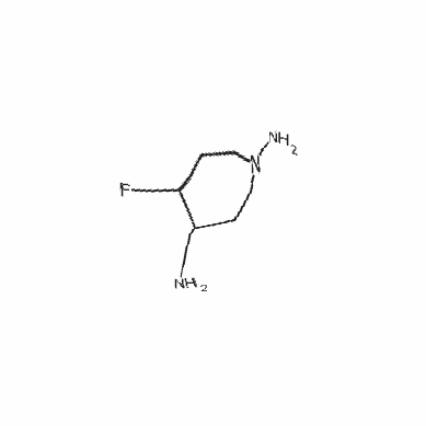 NC1CN(N)CC1F